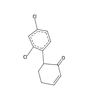 O=C1C=CCCC1c1ccc(Cl)cc1Cl